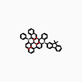 CC1(C)c2ccccc2-c2ccc(N(c3ccc(-c4ccccc4)cc3)c3ccccc3C3=CCC(c4ccccc4N(c4ccccc4)c4cccc5ccccc45)C=C3)cc21